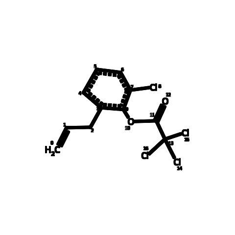 C=CCc1cccc(Cl)c1OC(=O)C(Cl)(Cl)Cl